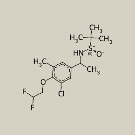 Cc1cc(C(C)N[S@+]([O-])C(C)(C)C)cc(Cl)c1OCC(F)F